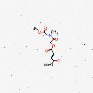 COC(=O)/C=C/C(=O)OCC(=O)N(C)CC(=O)OC(C)(C)C